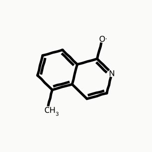 Cc1cccc2c([O])nccc12